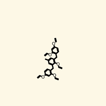 C=COc1ccc(Cc2cc(C)cc(Cc3ccc(OC=C)cc3OC=C)c2OC=C)c(OC=C)c1